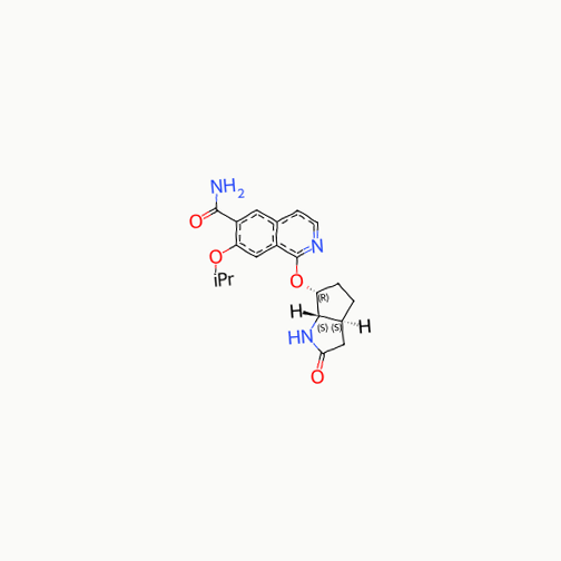 CC(C)Oc1cc2c(O[C@@H]3CC[C@H]4CC(=O)N[C@@H]43)nccc2cc1C(N)=O